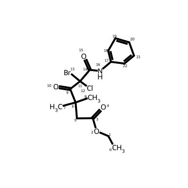 CCOC(=O)CC(C)(C)C(=O)C(Cl)(Br)C(=O)Nc1ccccc1